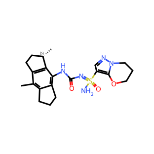 Cc1c2c(c(NC(=O)N=S(N)(=O)c3cnn4c3OCCC4)c3c1CC[C@@H]3C)CCC2